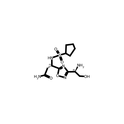 NC(=O)C[C@H](NS(=O)(=O)C1CCCC1)c1nc([C@@H](N)CO)no1